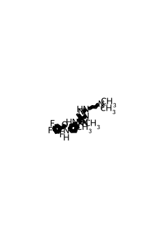 Cc1ccc(NC(=O)c2cc(F)c(F)cc2F)cc1Nc1nn(C)c2nc(NCCCCN(C)C)ncc12